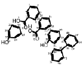 O=C(O)c1ccccc1.O=C(O)c1ccccc1.Oc1ccccc1.Oc1ccccc1.c1ccc(-c2ccccc2)cc1